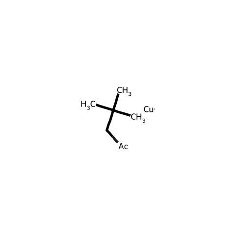 CC(=O)CC(C)(C)C.[Cu]